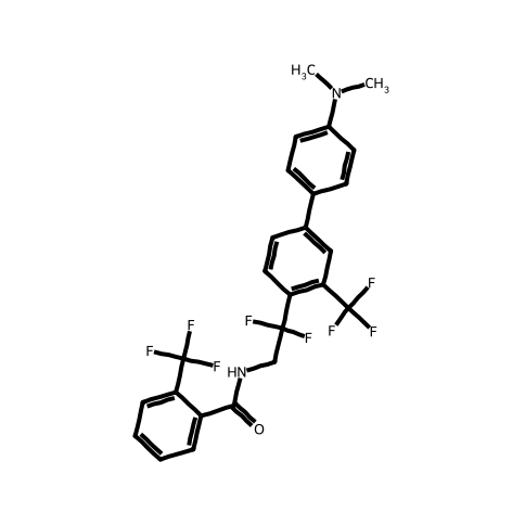 CN(C)c1ccc(-c2ccc(C(F)(F)CNC(=O)c3ccccc3C(F)(F)F)c(C(F)(F)F)c2)cc1